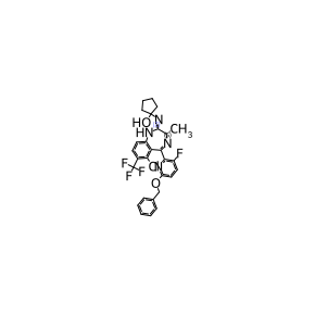 C[C@@H]1N=C(c2nc(OCc3ccccc3)ccc2F)c2c(ccc(C(F)(F)F)c2Cl)N/C1=N\C1(O)CCCC1